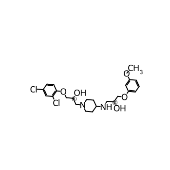 COc1cccc(OC[C@H](O)CNC2CCN(C[C@H](O)COc3ccc(Cl)cc3Cl)CC2)c1